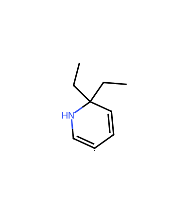 CCC1(CC)C=C[C]=CN1